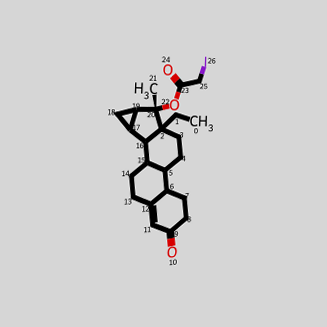 CCC12CCC3C4CCC(=O)C=C4CCC3C1C1CC1[C@]2(C)OC(=O)CI